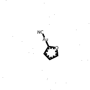 N#[C][Au][c]1ccco1